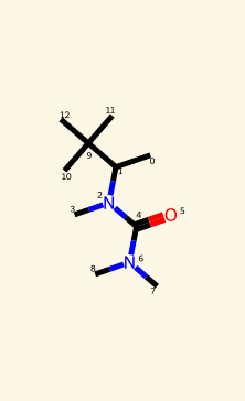 CC(N(C)C(=O)N(C)C)C(C)(C)C